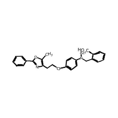 CC(=O)N(Cc1ccccc1C(=O)O)c1ccc(OCCc2nc(-c3ccccc3)oc2C)cc1